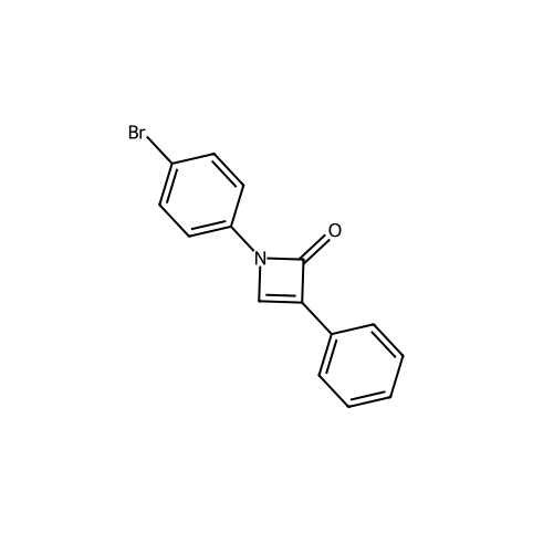 O=C1C(c2ccccc2)=CN1c1ccc(Br)cc1